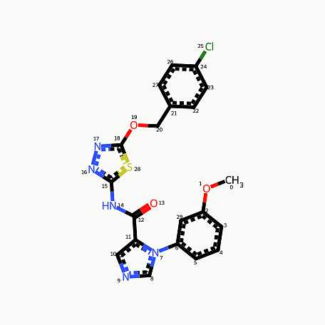 COc1cccc(-n2cncc2C(=O)Nc2nnc(OCc3ccc(Cl)cc3)s2)c1